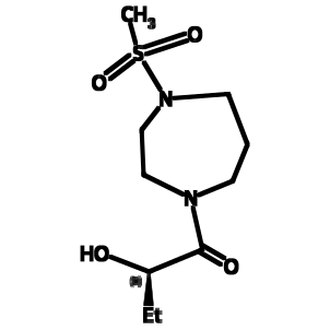 CC[C@@H](O)C(=O)N1CCCN(S(C)(=O)=O)CC1